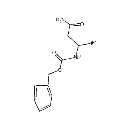 CC(C)C(CC(N)=O)NC(=O)OCc1ccccc1